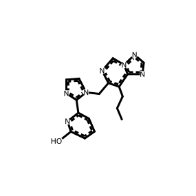 CCCc1c(Cn2ccnc2-c2cccc(O)n2)ncn2ncnc12